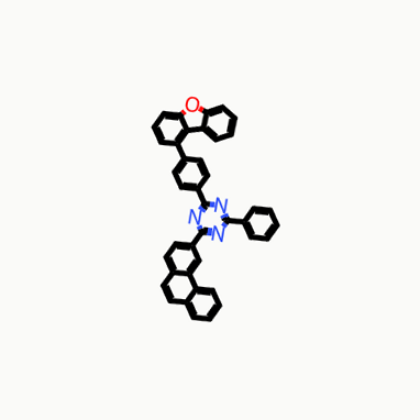 c1ccc(-c2nc(-c3ccc(-c4cccc5oc6ccccc6c45)cc3)nc(-c3ccc4ccc5ccccc5c4c3)n2)cc1